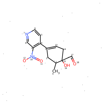 CC1CC(c2ccncc2[N+](=O)[O-])=CCC1(O)C=O